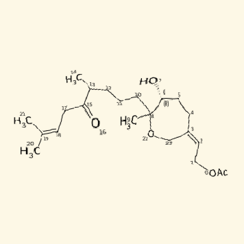 CC(=O)OCC=C1CC[C@@H](O)C(C)(CCCC(C)C(=O)CC=C(C)C)OC1